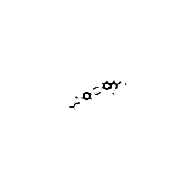 CCn1cc(C(=O)OC)c(=O)c2cc(F)c(N3CCN(c4ccc(N5CC([C@H](N)C(C)=O)OC5=O)cc4F)CC3)cc21